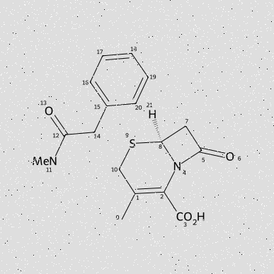 CC1=C(C(=O)O)N2C(=O)C[C@@H]2SC1.CNC(=O)Cc1ccccc1